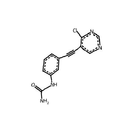 NC(=O)Nc1cccc(C#Cc2cncnc2Cl)c1